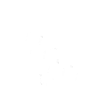 Cn1nccc1C(Nc1ccccn1)c1ccc2cccnc2c1O